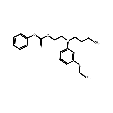 CCCCN(CCOC(=O)Oc1ccccc1)c1cccc(OCC)c1